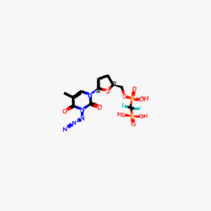 Cc1cn([C@H]2CC[C@@H](COP(=O)(O)C(F)(F)P(=O)(O)O)O2)c(=O)n(N=[N+]=[N-])c1=O